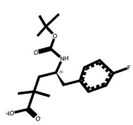 CC(C)(C)OC(=O)N[C@@H](Cc1ccc(F)cc1)CC(C)(C)C(=O)O